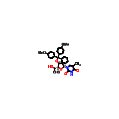 COc1ccc(C(O[C@H]2C[C@H](n3cc(C)c(=O)[nH]c3=O)O[C@@H]2C(O)C=O)(c2ccccc2)c2ccc(OC)cc2)cc1